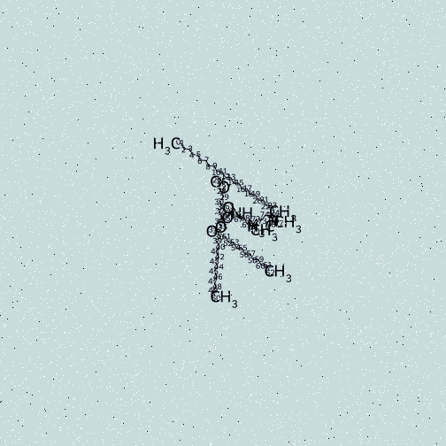 CCCCCCCCCCCCC(CCCCCCCCCCCC)C(=O)OCCCC(CCCOC(=O)C(CCCCCCCCCCCC)CCCCCCCCCCCC)OC(=O)NCCCN(C)CCCCN(C)C